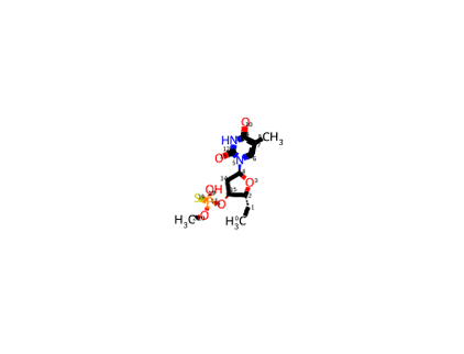 CC[C@H]1O[C@H](n2cc(C)c(=O)[nH]c2=O)C[C@H]1OP(O)(=S)OC